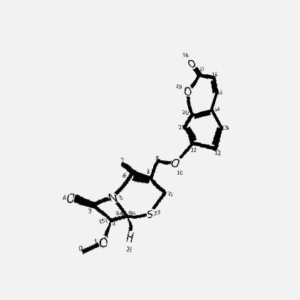 CO[C@H]1C(=O)N2C(C)=C(COc3ccc4ccc(=O)oc4c3)CS[C@H]12